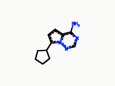 Nc1ncnn2c(C3CCCC3)ccc12